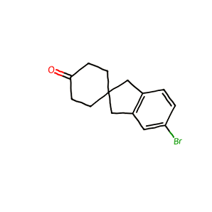 O=C1CCC2(CC1)Cc1ccc(Br)cc1C2